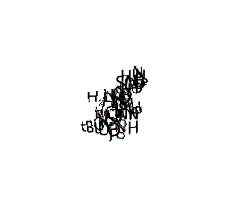 CSCCC(NC(=O)C(CC(N)=O)NC(=O)C(Cc1c[nH]c2ccccc12)NC(=O)C(CO)NC(=O)[C@H]1CCCN(C(=O)c2c(C)cccc2F)[C@H]1c1ccc(N(C(=O)OC(C)(C)C)C2CCCC2)cc1)C(=O)NC[C@H]1OC[C@@H](c2cnn(C)c2)[C@H]2OC(C)(C)O[C@H]21